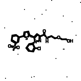 CS(=O)(=O)c1cccc(-c2ccc(-c3cc(C(=O)NCCOCCO)nn3-c3ccccc3Cl)s2)c1